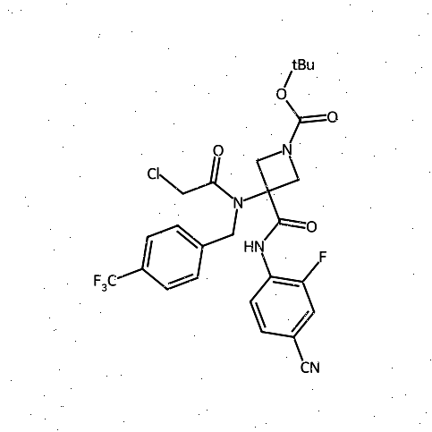 CC(C)(C)OC(=O)N1CC(C(=O)Nc2ccc(C#N)cc2F)(N(Cc2ccc(C(F)(F)F)cc2)C(=O)CCl)C1